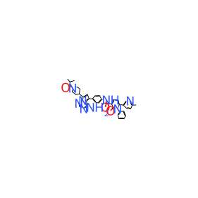 Cc1ccc(-c2ccc(C(=O)Nc3ccc(-c4cc(C5CCN(C(=O)C(C)C)CC5)n5ncnc(N)c45)cc3)c(=O)n2-c2ccccc2)cn1